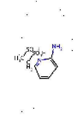 CS(=O)(=O)O.CS(=O)(=O)O.Nc1ccccn1